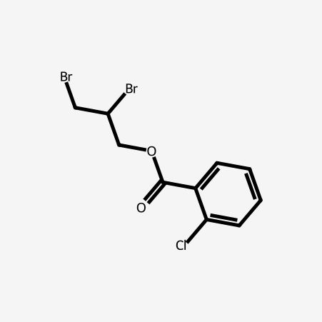 O=C(OCC(Br)CBr)c1ccccc1Cl